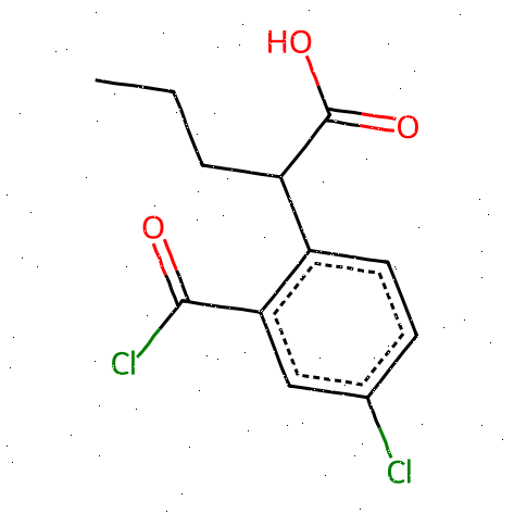 CCCC(C(=O)O)c1ccc(Cl)cc1C(=O)Cl